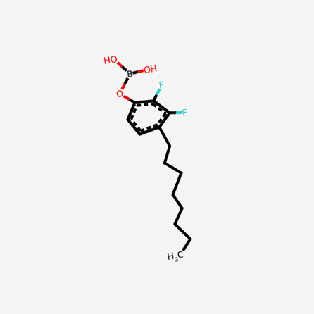 CCCCCCCCc1ccc(OB(O)O)c(F)c1F